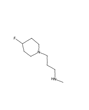 CNCCCN1CCC(F)CC1